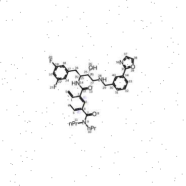 C=C/C(=C\C(=C/C)C(=O)N(CCC)CCC)C(=O)N[C@@H](Cc1cc(F)cc(F)c1)[C@H](O)CNCc1cccc(-c2ncco2)c1